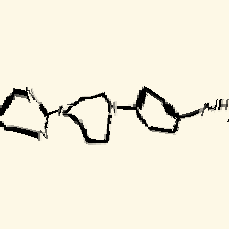 Nc1ccc(N2CCN(c3ncccn3)CC2)cc1